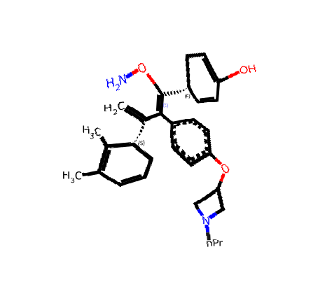 C=C(/C(=C(\ON)[C@H]1C=CC(O)=CC1)c1ccc(OC2CN(CCC)C2)cc1)[C@@H]1CC=CC(C)=C1C